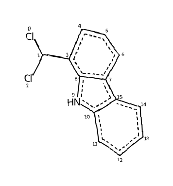 ClC(Cl)c1cccc2c1[nH]c1ccccc12